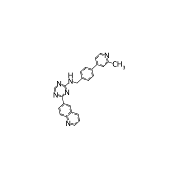 Cc1cc(-c2ccc(CNc3ncnc(-c4ccc5ncccc5c4)n3)cc2)ccn1